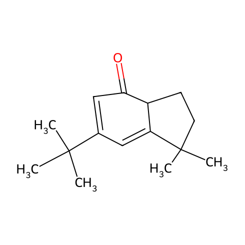 CC(C)(C)C1=CC(=O)C2CCC(C)(C)C2=C1